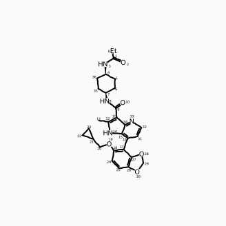 CCC(=O)N[C@H]1CC[C@@H](NC(=O)c2c(C)[nH]c3c(-c4c(OCC5CC5)ccc5c4OCO5)ccnc23)CC1